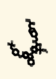 CC(F)(F)c1nc(N2CC3(CCOCC3)c3cc(OC4CCN(CC(F)(F)F)CC4)ncc32)ncc1C(=O)NCC1CC2CC(CC(=O)O)CC(C1)C2